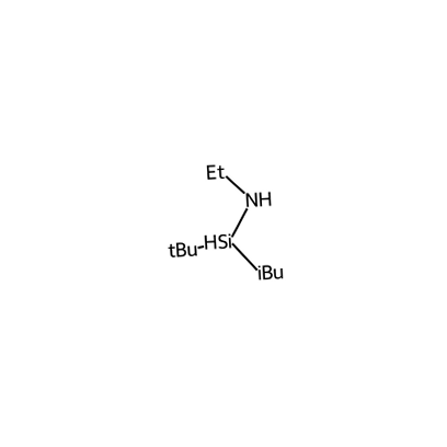 CCN[SiH](C(C)CC)C(C)(C)C